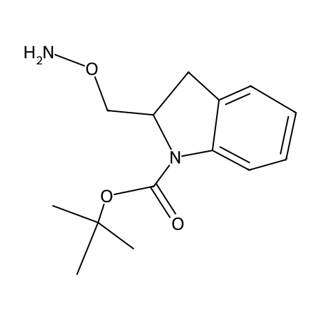 CC(C)(C)OC(=O)N1c2ccccc2CC1CON